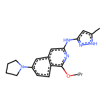 Cc1cc(Nc2cc3cc(N4CCCC4)ccc3c(OC(C)C)n2)n[nH]1